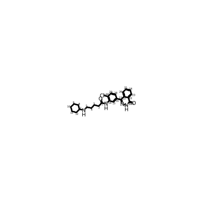 O=C(CCCCNC1CCCCC1)Nc1cc(-c2n[nH]c(=O)c3ccccc23)ccc1Cl